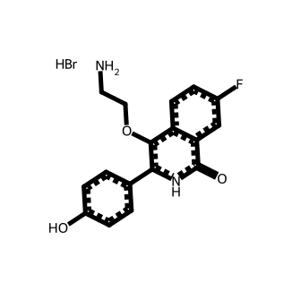 Br.NCCOc1c(-c2ccc(O)cc2)[nH]c(=O)c2cc(F)ccc12